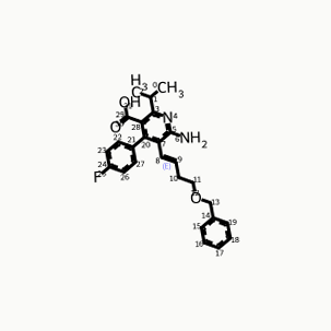 CC(C)c1nc(N)c(/C=C/CCOCc2ccccc2)c(-c2ccc(F)cc2)c1C(=O)O